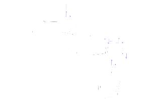 COC(=O)c1cc(S(=O)(=O)Cc2nnnn2-c2cccc(F)c2F)c[nH]1